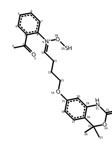 CC(=O)c1ccccc1[N+](=CCCCOc1ccc2c(c1)NC(=O)OC2(C)C)OS